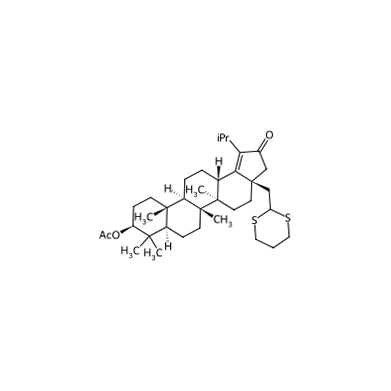 CC(=O)O[C@H]1CC[C@]2(C)[C@H]3CC[C@@H]4C5=C(C(C)C)C(=O)C[C@]5(CC5SCCCS5)CC[C@@]4(C)[C@]3(C)CC[C@H]2C1(C)C